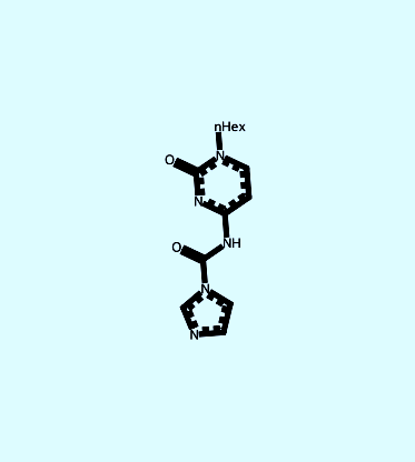 CCCCCCn1ccc(NC(=O)n2ccnc2)nc1=O